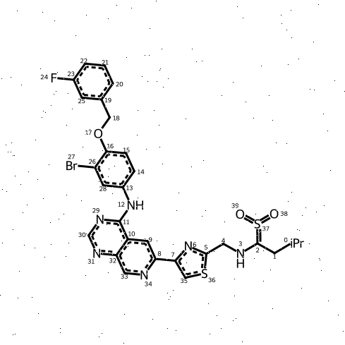 CC(C)CC(NCc1nc(-c2cc3c(Nc4ccc(OCc5cccc(F)c5)c(Br)c4)ncnc3cn2)cs1)=S(=O)=O